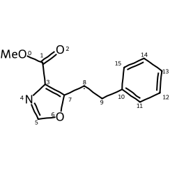 COC(=O)c1ncoc1[CH]Cc1ccccc1